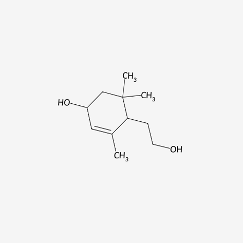 CC1=CC(O)CC(C)(C)C1CCO